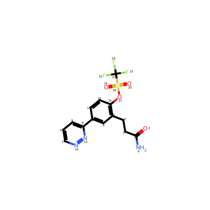 NC(=O)CCc1cc(-c2cccnn2)ccc1OS(=O)(=O)C(F)(F)F